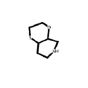 C1CC2SCCOC2CN1